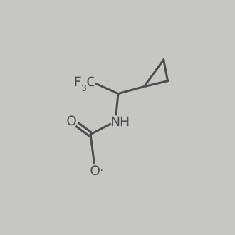 [O]C(=O)NC(C1CC1)C(F)(F)F